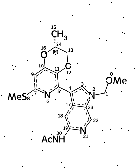 COCn1cc(-c2nc(SC)cc3c2OC[C@@H](C)O3)c2cc(NC(C)=O)ncc21